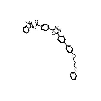 O=C(On1nnc2ccccc21)c1ccc(-c2nnc(-c3ccc(-c4ccc(OCCCOc5ccccc5)cc4)cc3)o2)cc1